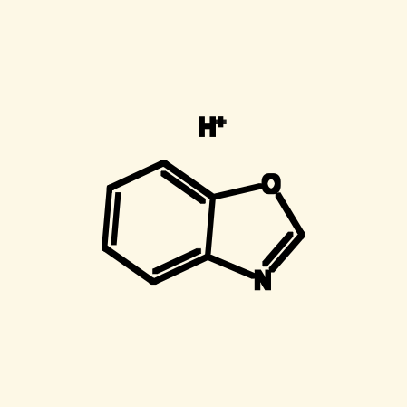 [H+].c1ccc2ocnc2c1